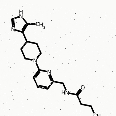 CCCC(=O)NCc1cccc(N2CCC(c3nc[nH]c3C)CC2)n1